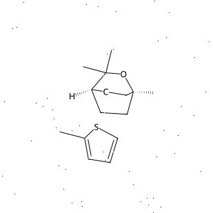 CC1(C)O[C@]2(C)CC[C@H]1CC2.Cc1cccs1